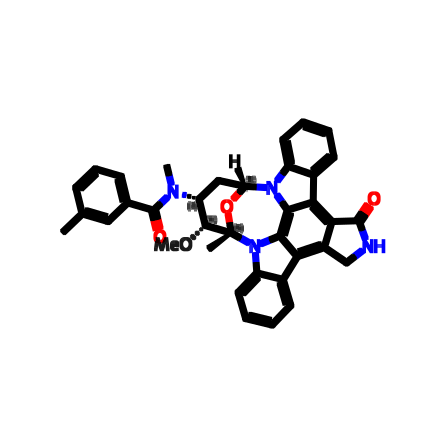 CO[C@@H]1[C@H](N(C)C(=O)c2cccc(C)c2)C[C@H]2O[C@]1(C)n1c3ccccc3c3c4c(c5c6ccccc6n2c5c31)C(=O)NC4